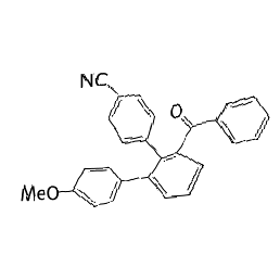 COc1ccc(-c2cccc(C(=O)c3ccccc3)c2-c2ccc(C#N)cc2)cc1